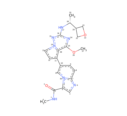 CNC(=O)c1cnc2ccc(-c3ccn4nc(N[C@H](C)C5COC5)nc(OC)c34)cn12